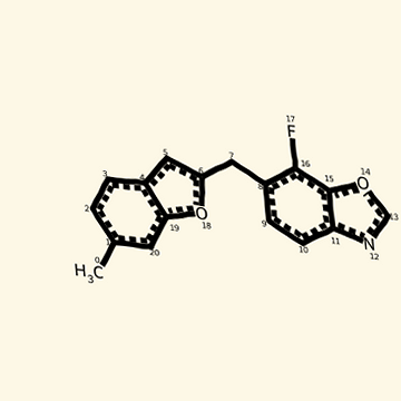 Cc1ccc2cc(Cc3ccc4ncoc4c3F)oc2c1